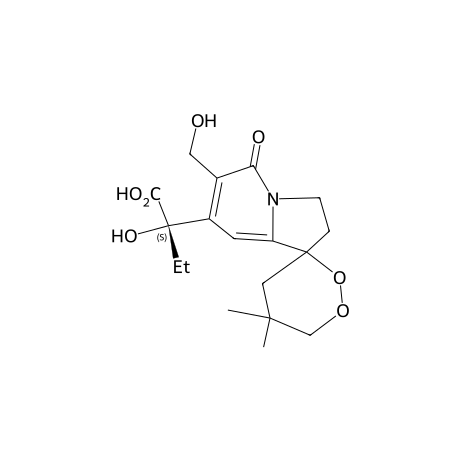 CC[C@@](O)(C(=O)O)c1cc2n(c(=O)c1CO)CCC21CC(C)(C)COO1